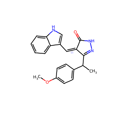 COc1ccc(C(C)C2=NNC(=O)/C2=C\c2c[nH]c3ccccc23)cc1